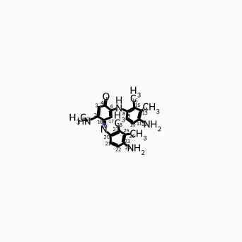 CNC1=CC(=O)C(Nc2ccc(N)c(C)c2C)=C/C1=N\c1ccc(N)c(C)c1C